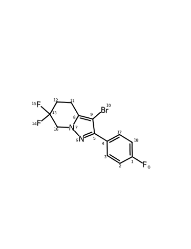 Fc1ccc(-c2nn3c(c2Br)CCC(F)(F)C3)cc1